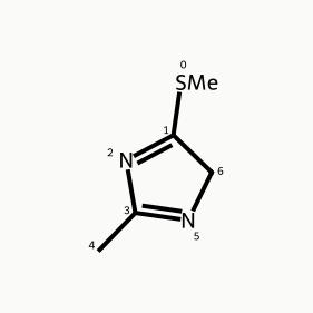 CSC1=NC(C)=NC1